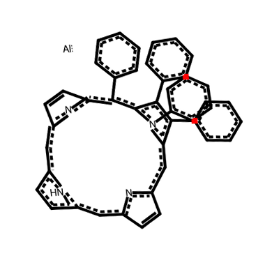 C1=Cc2cc3c(-c4ccccc4)c(-c4ccccc4)c(c(-c4ccccc4)c4nc(cc5ccc(cc1n2)[nH]5)C=C4)n3-c1ccccc1.[Al]